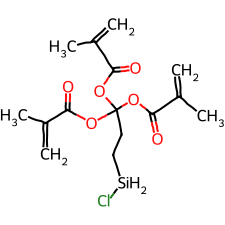 C=C(C)C(=O)OC(CC[SiH2]Cl)(OC(=O)C(=C)C)OC(=O)C(=C)C